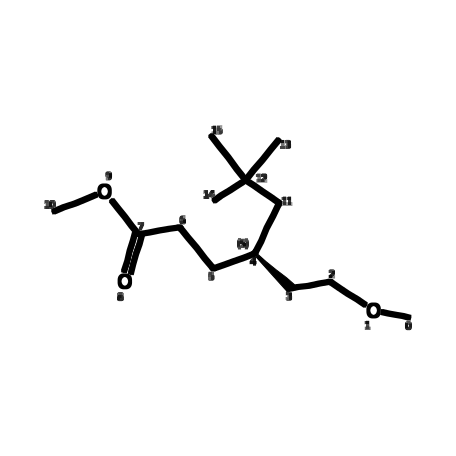 COCC[C@@H](CCC(=O)OC)CC(C)(C)C